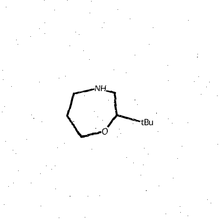 CC(C)(C)C1CNCCCO1